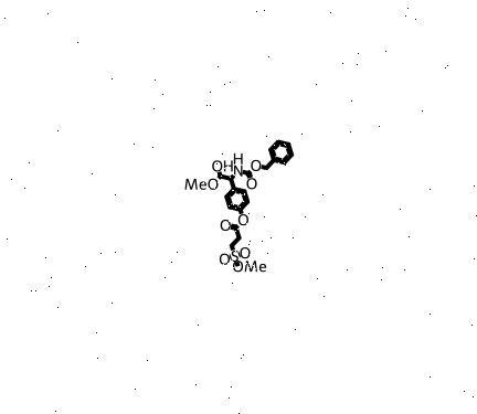 COC(O)C(NC(=O)OCc1ccccc1)c1ccc(OC(=O)CCS(=O)(=O)OC)cc1